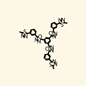 Cc1nnc(-c2cccc(-c3nnc(-c4cc(-c5nnc(-c6cccc(-c7nnc(C)s7)c6)o5)cc(-c5nnc(-c6cccc(-c7nnc(C)s7)c6)o5)c4)o3)c2)s1